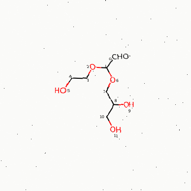 O=[C]C(OCCO)OCC(O)CO